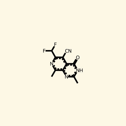 Cc1nc2c(C)nc(C(F)F)c(C#N)c2c(=O)[nH]1